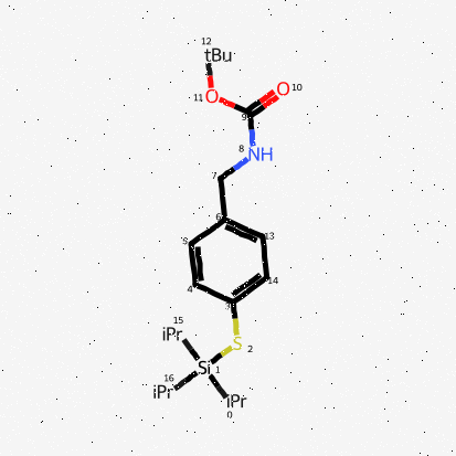 CC(C)[Si](Sc1ccc(CNC(=O)OC(C)(C)C)cc1)(C(C)C)C(C)C